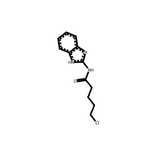 O=C(CCCCCl)Nc1nc2ccccc2[nH]1